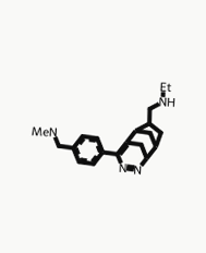 CCNCC1CC2CC1C1=C(c3ccc(CNC)cc3)N=NC2C1